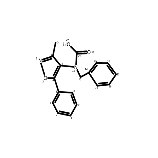 Cc1noc(-c2ccccc2)c1N(Cc1ccccc1)C(=O)O